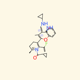 C=C(F)C1=C(/C(Oc2ccccc2)=C(C)/C(C=N)=C/NC2CC2)CC[C@H](C)N1C(=O)C1CC1